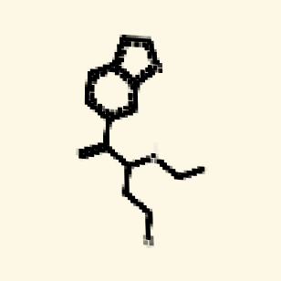 C=C(c1ccc2ccoc2c1)C(CCCl)NCC